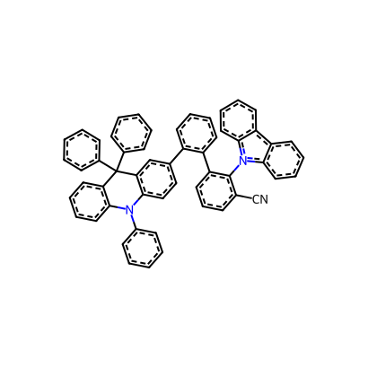 N#Cc1cccc(-c2ccccc2-c2ccc3c(c2)C(c2ccccc2)(c2ccccc2)c2ccccc2N3c2ccccc2)c1-n1c2ccccc2c2ccccc21